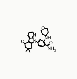 CC1(C)CC(=O)c2c(n(-c3ccc(C(N)=O)c(NC4CCOCC4)c3)c3ncccc23)C1